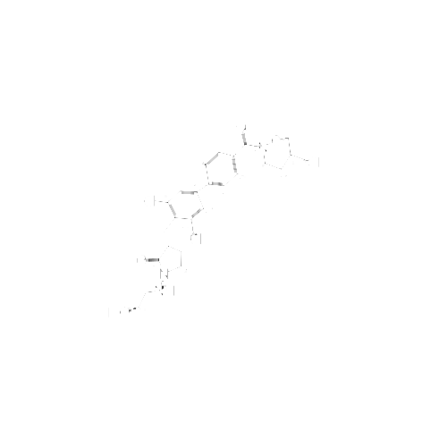 O=C(c1ccc(-c2cc(Cl)c(C[C@@H]3CCN(NCCO)C3=O)c(Cl)c2)cc1)N1CCC(C(F)(F)F)CC1